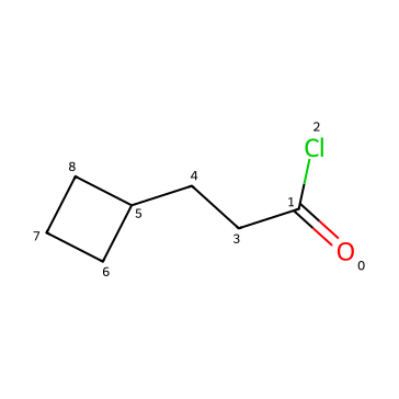 O=C(Cl)CCC1CCC1